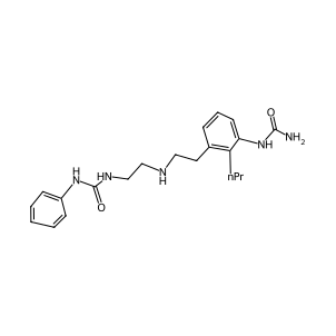 CCCc1c(CCNCCNC(=O)Nc2ccccc2)cccc1NC(N)=O